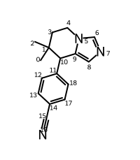 CC1(C)CCn2cncc2C1c1ccc(C#N)cc1